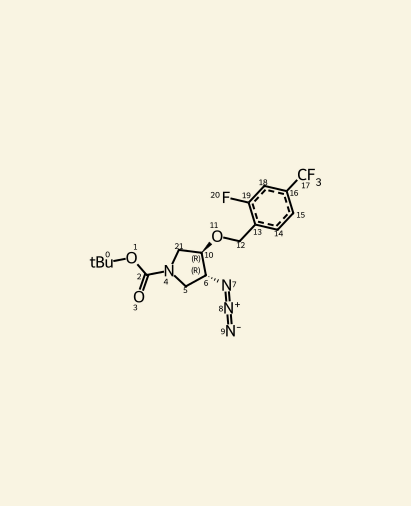 CC(C)(C)OC(=O)N1C[C@@H](N=[N+]=[N-])[C@H](OCc2ccc(C(F)(F)F)cc2F)C1